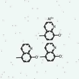 Cc1ccc([O-])c2ncccc12.Cc1ccc([O-])c2ncccc12.Cc1ccc([O-])c2ncccc12.[Al+3]